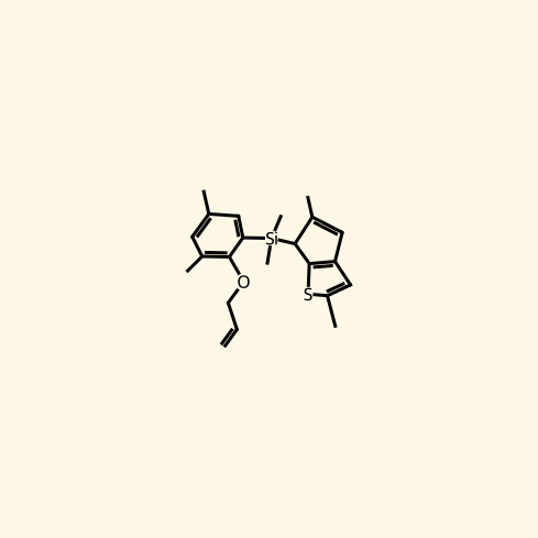 C=CCOc1c(C)cc(C)cc1[Si](C)(C)C1C(C)=Cc2cc(C)sc21